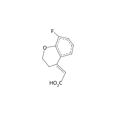 O=C(O)/C=C1\CCOc2c(F)cccc21